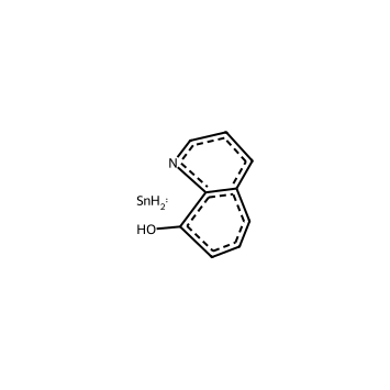 Oc1cccc2cccnc12.[SnH2]